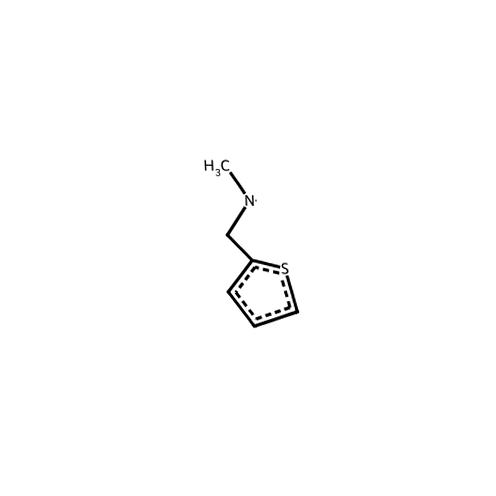 C[N]Cc1cccs1